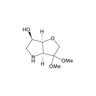 COC1(OC)CO[C@@H]2[C@H](O)CN[C@@H]21